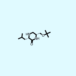 CC(C)C[C@@H]1NC[C@H](COC(C)(C)C)NC1=O